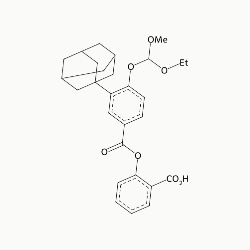 CCOC(OC)Oc1ccc(C(=O)Oc2ccccc2C(=O)O)cc1C12CC3CC(CC(C3)C1)C2